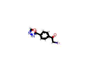 O=C(CI)c1ccc(-c2nnco2)cc1